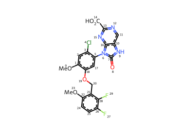 COc1cc(Cl)c(-n2c(=O)[nH]c3cnc(C(=O)O)nc32)cc1OCc1c(OC)ccc(F)c1F